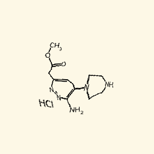 COC(=O)Cc1cc(N2CCNCC2)c(N)nn1.Cl